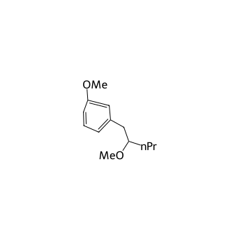 CCCC(Cc1cccc(OC)c1)OC